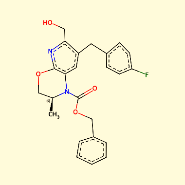 C[C@H]1COc2nc(CO)c(Cc3ccc(F)cc3)cc2N1C(=O)OCc1ccccc1